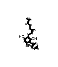 CCCCCc1cc(O)c(CC=C(C)CCC=C(C)C)c(O)c1-c1cncnc1